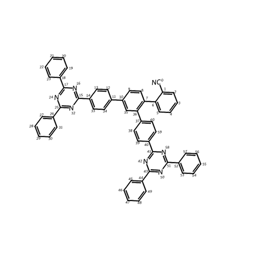 N#Cc1ccccc1-c1ccc(-c2ccc(-c3nc(-c4ccccc4)nc(-c4ccccc4)n3)cc2)cc1-c1ccc(-c2nc(-c3ccccc3)nc(-c3ccccc3)n2)cc1